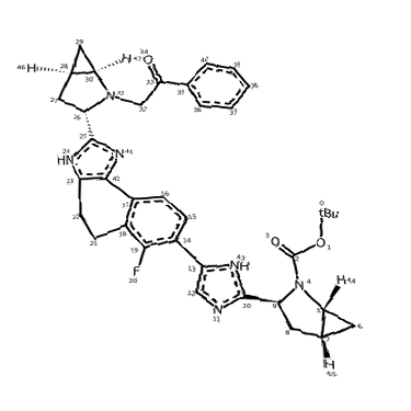 CC(C)(C)OC(=O)N1[C@@H]2C[C@@H]2C[C@H]1c1ncc(-c2ccc3c(c2F)CCc2[nH]c([C@@H]4C[C@H]5C[C@H]5N4CC(=O)c4ccccc4)nc2-3)[nH]1